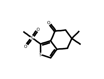 CC1(C)CC(=O)c2c(csc2S(C)(=O)=O)C1